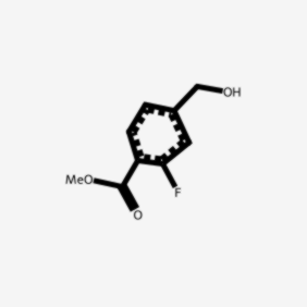 COC(=O)c1ccc(CO)cc1F